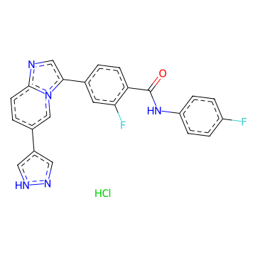 Cl.O=C(Nc1ccc(F)cc1)c1ccc(-c2cnc3ccc(-c4cn[nH]c4)cn23)cc1F